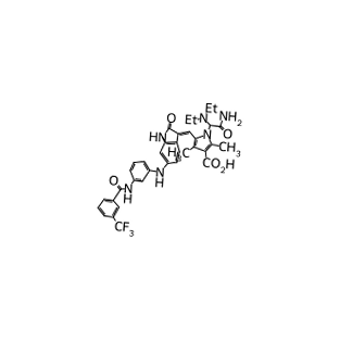 CCN(CC)C(C(N)=O)n1c(C)c(C(=O)O)c(C)c1C=C1C(=O)Nc2cc(Nc3cccc(NC(=O)c4cccc(C(F)(F)F)c4)c3)ccc21